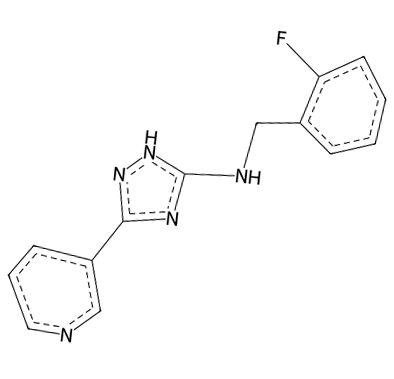 Fc1ccccc1CNc1nc(-c2cccnc2)n[nH]1